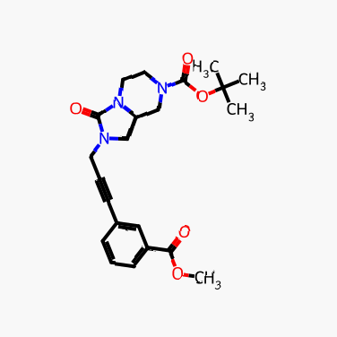 COC(=O)c1cccc(C#CCN2CC3CN(C(=O)OC(C)(C)C)CCN3C2=O)c1